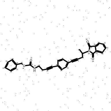 CC(CC#Cc1ccc(C#CCCNC(=O)OCc2ccccc2)cc1)N1C(=O)c2ccccc2C1=O